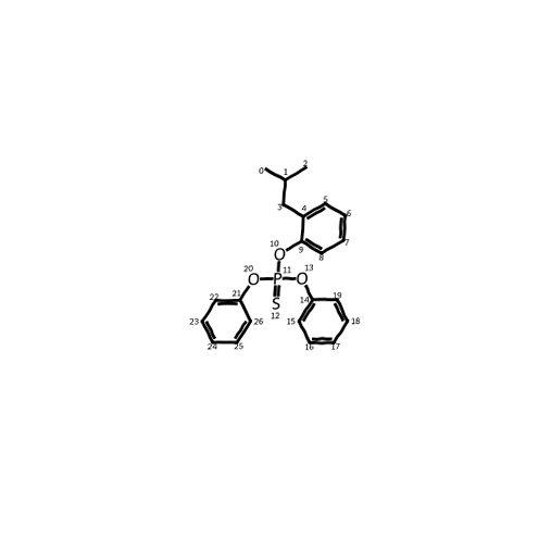 CC(C)Cc1ccccc1OP(=S)(Oc1ccccc1)Oc1ccccc1